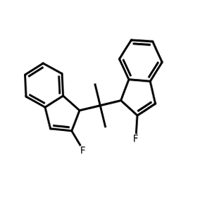 CC(C)(C1C(F)=Cc2ccccc21)C1C(F)=Cc2ccccc21